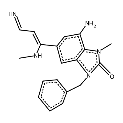 CN/C(=C\C=N)c1cc(N)c2c(c1)n(Cc1ccccc1)c(=O)n2C